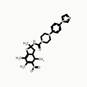 CC1=C2OC(C)(NC(=O)N3CCN(c4ccc(-n5ccnc5)cc4)CC3)CC2C(C)C([N+](=O)[O-])=C1C